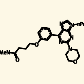 CCCn1cnc2c(-c3cccc(OCCCC(=O)NC)c3)nc(N3CCOCC3)nc21